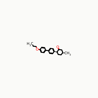 CCCOc1ccc(-c2ccc([C@@H]3CC[C@@H](C)CC3=O)cc2)cc1